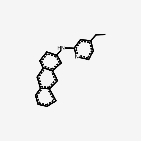 CCc1ccnc(Nc2ccc3cc4ccccc4cc3c2)c1